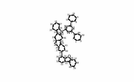 c1ccc(-c2nc(-c3ccccc3)nc(-n3c4ccccc4c4cc5sc6cc(-c7cccc8c7oc7ccccc78)ccc6c5cc43)n2)cc1